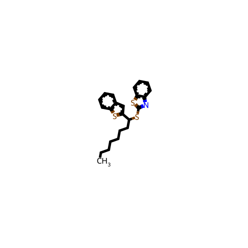 CCCCCCCC(Sc1nc2ccccc2s1)c1cc2ccccc2s1